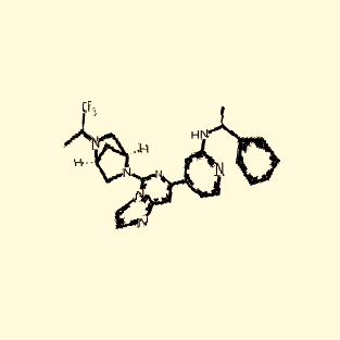 C[C@H](Nc1cc(-c2cc3nccn3c(N3C[C@@H]4C[C@H]3CN4[C@@H](C)C(F)(F)F)n2)ccn1)c1ccccc1